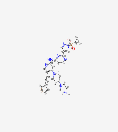 CN1CCN(C2CCN(c3cc(Nc4ccnc(-c5cnn(S(=O)(=O)C6CC6)c5)n4)ncc3C#Cc3ccsc3)CC2)CC1